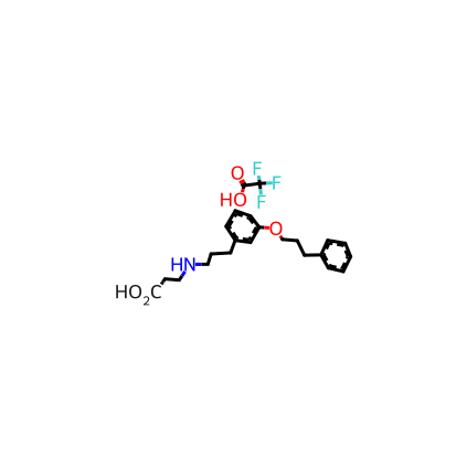 O=C(O)C(F)(F)F.O=C(O)CCNCCCc1cccc(OCCCc2ccccc2)c1